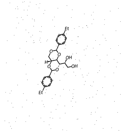 CCc1ccc(C2OC[C@H]3OC(c4ccc(CC)cc4)O[C@@H]([C@@H](O)CO)C3O2)cc1